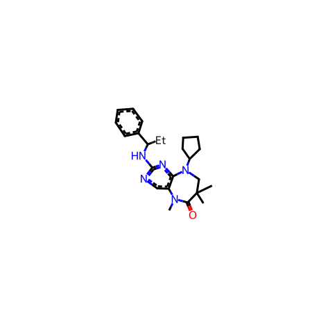 CCC(Nc1ncc2c(n1)N(C1CCCC1)CC(C)(C)C(=O)N2C)c1ccccc1